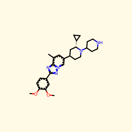 COc1ccc(-c2nc3c(C)cc(C4CCN(C5CCNCC5)[C@@H](C5CC5)C4)cn3n2)cc1OC